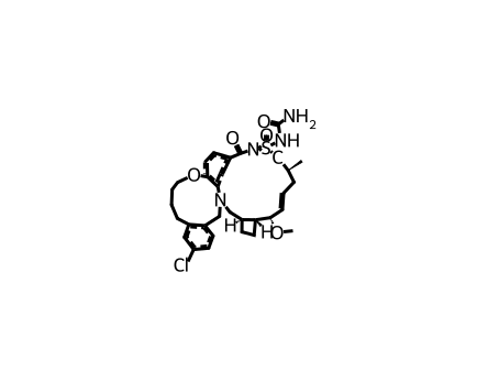 CO[C@H]1/C=C/C[C@H](C)CS(=O)(NC(N)=O)=NC(=O)c2ccc3c(c2)N(Cc2ccc(Cl)cc2CCCCO3)C[C@@H]2CC[C@H]21